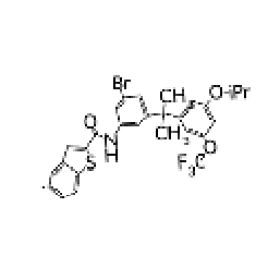 CC(C)Oc1cc(OC(F)(F)F)cc(C(C)(C)c2cc(Br)cc(NC(=O)c3cc4c[c]ccc4s3)c2)c1